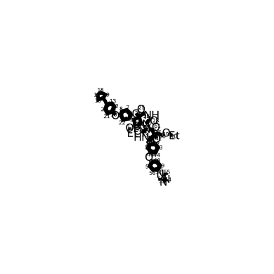 CCOCCC1(Oc2ccc(Oc3ccc(C4CCCC4)cc3)cc2)C(=O)NC(=O)N(N2C(=O)NC(=O)C(CCOCC)(Oc3ccc(Oc4ccc(-n5cnnc5)cc4)cc3)C2=O)C1=O